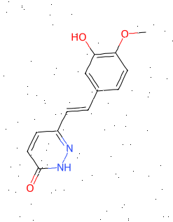 COc1ccc(/C=C/c2ccc(=O)[nH]n2)cc1O